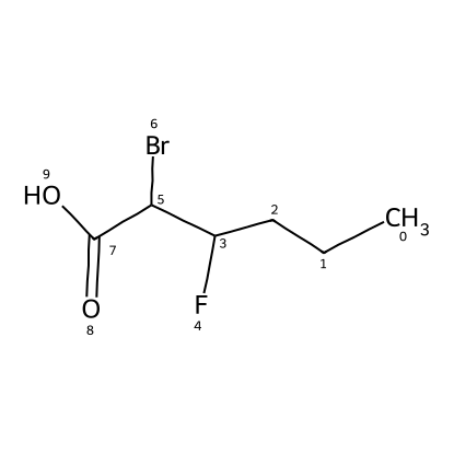 CCCC(F)C(Br)C(=O)O